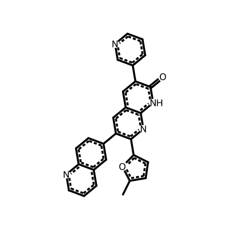 Cc1ccc(-c2nc3[nH]c(=O)c(-c4cccnc4)cc3cc2-c2ccc3ncccc3c2)o1